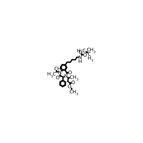 CCOC(=O)CC(C)N1C(=O)c2cc(CCCCCNC(=O)OC(C)(C)C)ccc2N(C(C)C)C(=O)C1c1ccccc1